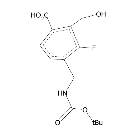 CC(C)(C)OC(=O)NCc1ccc(C(=O)O)c(CO)c1F